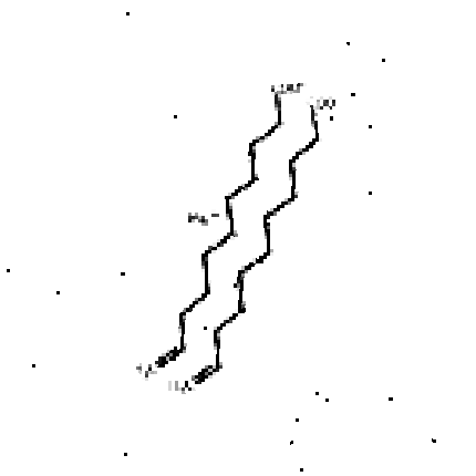 C=CCCCCCCCCC(=O)[O-].C=CCCCCCCCCC(=O)[O-].[Mg+2]